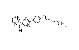 CCCCCOc1ccc(C2=NCC(C)(c3ncccn3)C=N2)cc1